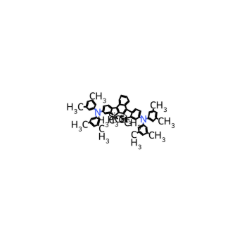 Cc1cc(C)cc(N(c2cc(C)cc(C)c2)c2ccc3c(c2)[Si](C)(C)c2c4c(c5ccccc5c2-3)-c2ccc(N(c3cc(C)cc(C)c3)c3cc(C)cc(C)c3)cc2[Si]4(C)C)c1